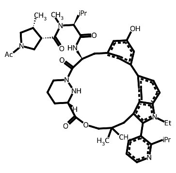 CCn1c(-c2cccnc2C(C)C)c2c3cc(ccc31)-c1cc(O)cc(c1)C[C@H](NC(=O)[C@H](C(C)C)N(C)C(=O)[C@@H]1CN(C(C)=O)C[C@@H]1C)C(=O)N1CCC[C@H](N1)C(=O)OCC(C)(C)C2